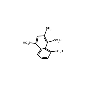 Nc1cc(S(=O)(=O)O)c2cccc(S(=O)(=O)O)c2c1S(=O)(=O)O